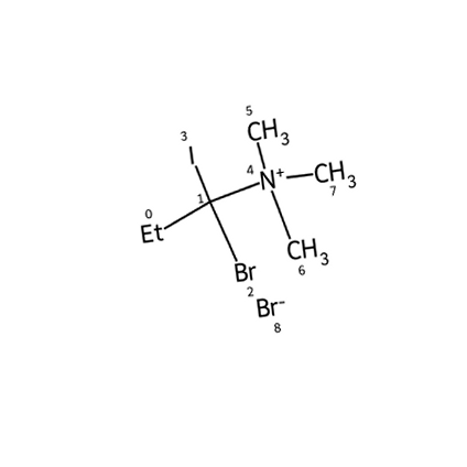 CCC(Br)(I)[N+](C)(C)C.[Br-]